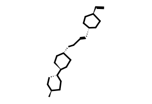 C=C[C@H]1CC[C@H](C=CCC[C@H]2CC[C@H]([C@H]3CC[C@H](C)CC3)CC2)CC1